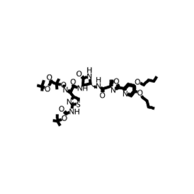 CCCCOc1cnc(-c2nc(C(=O)NC[C@H]3NC(=O)[C@H]3NC(=O)/C(=N\OC(C)(C)C(=O)OC(C)(C)C)C3CSC(NC(=O)OC(C)(C)C)=N3)co2)cc1OCCCC